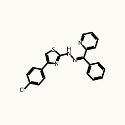 Clc1ccc(-c2csc(NN=C(c3ccccc3)c3ccccn3)n2)cc1